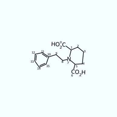 O=C(O)C1CCCC(C(=O)O)N1CCc1ccccc1